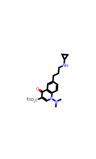 CCOC(=O)c1cn(N(C)C)c2ccc(CCCNC3CC3)cc2c1=O